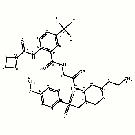 CCCN1CC[C@@H](CS(=O)(=O)c2ccc(SC)cc2)[C@@H](NC(=O)CNC(=O)c2cc(C(F)(F)F)ccc2NC(=O)N2CCC2)C1